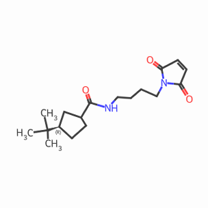 CC(C)(C)[C@@H]1CCC(C(=O)NCCCCN2C(=O)C=CC2=O)C1